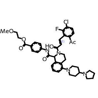 COCCOC(=O)c1ccc(NC(=O)C2c3cccc(N4CCC(N5CCCC5)CC4)c3CCN2C(=O)/C=C/c2c(C(C)=O)ccc(Cl)c2F)cc1